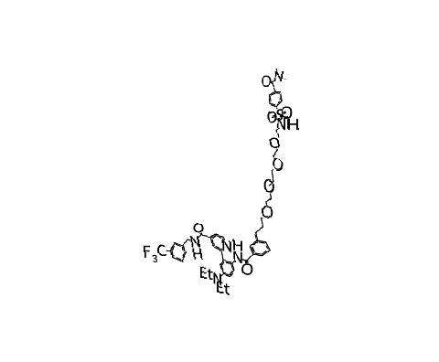 CCN(CC)c1ccc(NC(=O)c2cccc(CCCOCCOCCOCCOCCNS(=O)(=O)c3ccc(C(=O)N(C)C)cc3)c2)c(-c2cc(C(=O)NCc3cccc(C(F)(F)F)c3)ccn2)c1